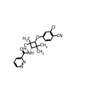 CC1(C)[C@H](NC(=O)c2cccnn2)C(C)(C)[C@H]1Oc1ccc(C#N)c(Cl)c1